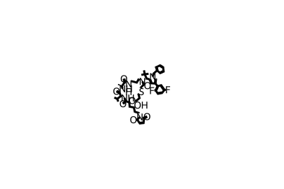 CC(C)C(NC(=O)CCCCCN1C(=O)C=CC1=O)C(=O)N[C@@H](C)C(=O)NCCCN(C(=O)CSCCC(=O)O)[C@@H](c1cc(-c2cc(F)ccc2F)cn1Cc1ccccc1)C(C)(C)C